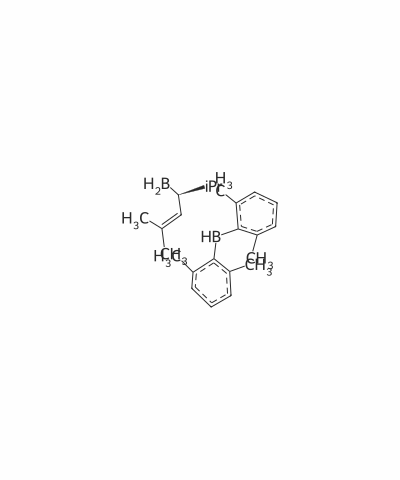 B[C@H](C=C(C)C)C(C)C.Cc1cccc(C)c1Bc1c(C)cccc1C